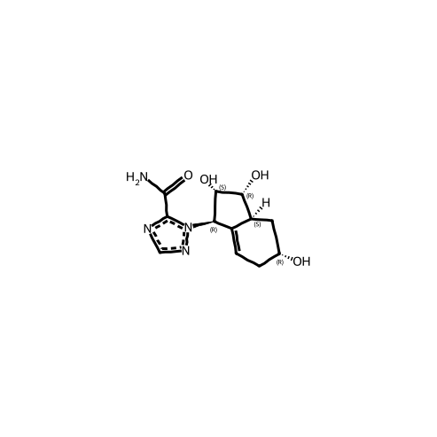 NC(=O)c1ncnn1[C@@H]1C2=CC[C@@H](O)C[C@@H]2[C@@H](O)[C@H]1O